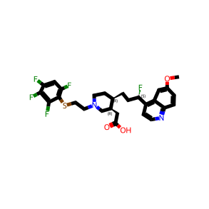 COc1ccc2nccc([C@@H](F)CC[C@@H]3CCN(CCSc4c(F)cc(F)c(F)c4F)C[C@@H]3CC(=O)O)c2c1